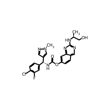 C[C@@H](CO)Nc1ncc2ccc(OC(=O)N[C@H](c3ccc(Cl)c(F)c3)c3cnn(C)c3)cc2n1